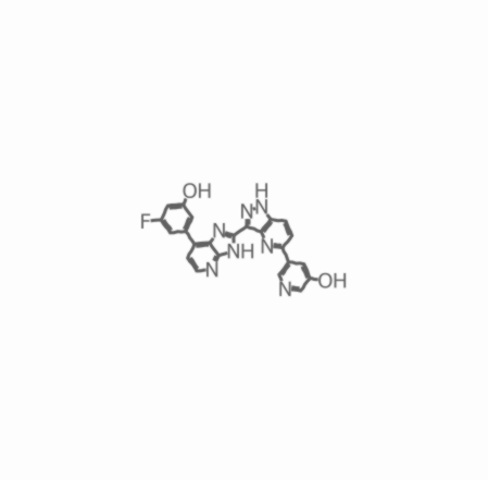 Oc1cncc(-c2ccc3[nH]nc(-c4nc5c(-c6cc(O)cc(F)c6)ccnc5[nH]4)c3n2)c1